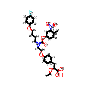 CCOC(Cc1ccc(OCCN(CCCCOc2ccc(F)cc2)C(=O)Oc2ccc(C)c([N+](=O)[O-])c2)cc1)C(=O)O